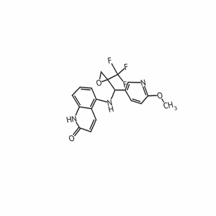 COc1ccc(C(Nc2cccc3[nH]c(=O)ccc23)C2(C(F)(F)F)CO2)cn1